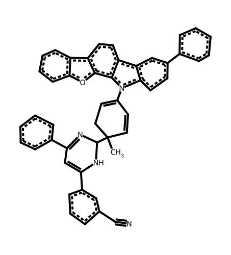 CC1(C2N=C(c3ccccc3)C=C(c3cccc(C#N)c3)N2)C=CC(n2c3ccc(-c4ccccc4)cc3c3ccc4c5ccccc5oc4c32)=CC1